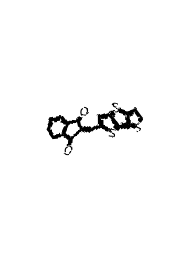 O=C1C(=Cc2cc3sc4ccsc4c3s2)C(=O)c2ccccc21